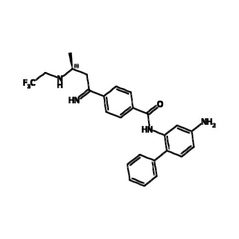 C[C@@H](CC(=N)c1ccc(C(=O)Nc2cc(N)ccc2-c2ccccc2)cc1)NCC(F)(F)F